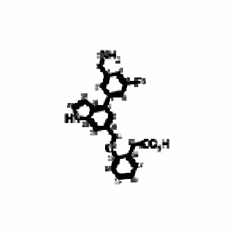 NCc1cc(F)cc(-c2cc(COc3ccccc3CC(=O)O)cc3[nH]ccc23)c1